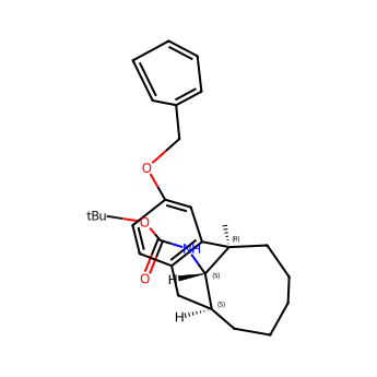 CC(C)(C)OC(=O)N[C@H]1[C@H]2CCCCC[C@]1(C)c1cc(OCc3ccccc3)ccc1C2